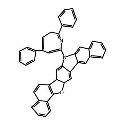 C1=C(c2ccccc2)C=C(n2c3c(c4cc5ccccc5cc42)=CC2Oc4c(ccc5ccccc45)C2C=3)N=C(c2ccccc2)C1